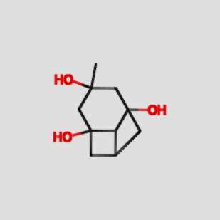 CC1(O)CC2(O)CC3CC(O)(C1)C32